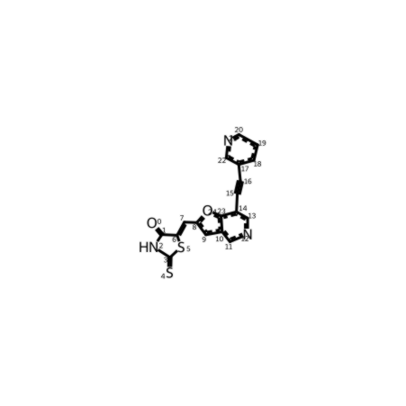 O=C1NC(=S)S/C1=C\c1cc2cncc(C#Cc3cccnc3)c2o1